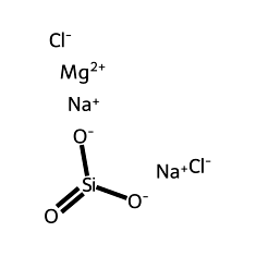 O=[Si]([O-])[O-].[Cl-].[Cl-].[Mg+2].[Na+].[Na+]